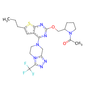 CCCc1cc2c(N3CCn4c(nnc4C(F)(F)F)C3)nc(OCC3CCCN3C(C)=O)nc2s1